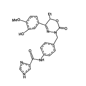 CCC1OC(=O)N(Cc2ccc(NC(=O)c3c[nH]cn3)cc2)N=C1c1ccc(OC)c(O)c1